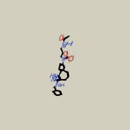 CC(=O)NCC1CN(c2ccc3c(c2)CCCc2c(NCc4ccccc4)n[nH]c2-3)C(=O)O1